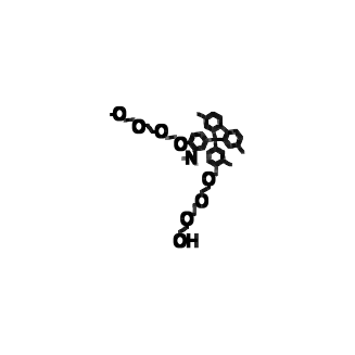 COCCOCCOCCOc1ccc(C2(c3ccc(COCCOCCOCCO)c(C)c3)c3cc(C)ccc3-c3ccc(C)cc32)cc1N(C)C